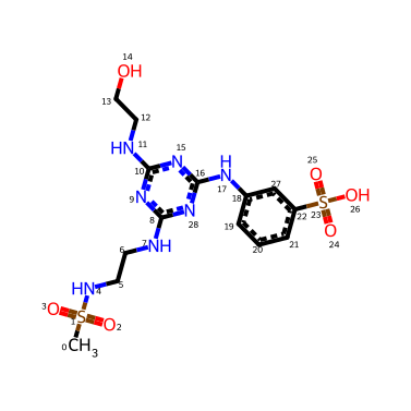 CS(=O)(=O)NCCNc1nc(NCCO)nc(Nc2cccc(S(=O)(=O)O)c2)n1